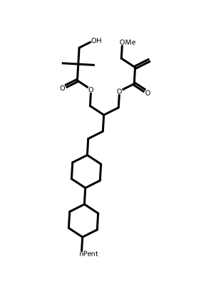 C=C(COC)C(=O)OCC(CCC1CCC(C2CCC(CCCCC)CC2)CC1)COC(=O)C(C)(C)CO